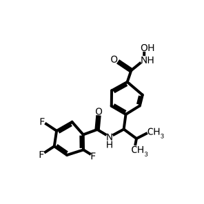 CC(C)C(NC(=O)c1cc(F)c(F)cc1F)c1ccc(C(=O)NO)cc1